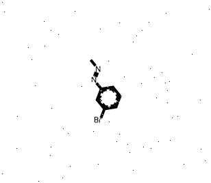 CN=Nc1cccc(Br)c1